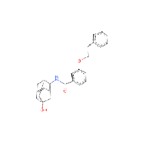 O=C(NC1C2C=C3CC1CC(O)(C3)C2)c1cccc(OCCc2ccccc2)c1